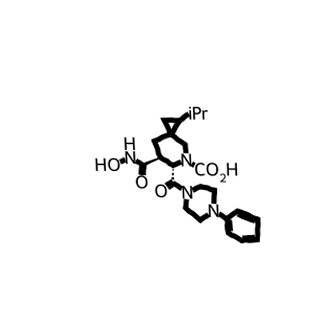 CC(C)C1CC12C[C@H](C(=O)NO)[C@@H](C(=O)N1CCN(c3ccccc3)CC1)N(C(=O)O)C2